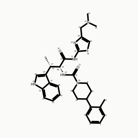 Cc1ccccc1C1CCN(C(=O)N[C@@H](C(=O)Nc2nc(CN(C)C)cs2)[C@@H](C)c2c[nH]c3ccccc23)CC1